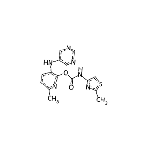 Cc1ccc(Nc2cncnc2)c(OC(=O)Nc2csc(C)n2)n1